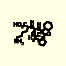 C[C@@H]1CCCN1C(=O)[C@@](C)(NC(=O)NC(CCCCN)C(=O)O)C1CCCCC1